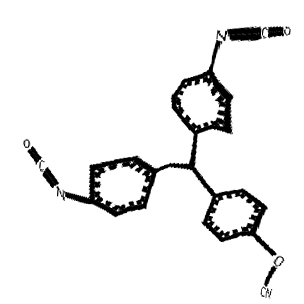 N#COc1ccc(C(c2ccc(N=C=O)cc2)c2ccc(N=C=O)cc2)cc1